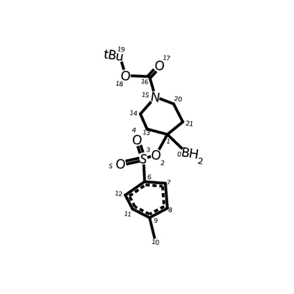 BC1(OS(=O)(=O)c2ccc(C)cc2)CCN(C(=O)OC(C)(C)C)CC1